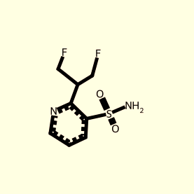 NS(=O)(=O)c1cccnc1C(CF)CF